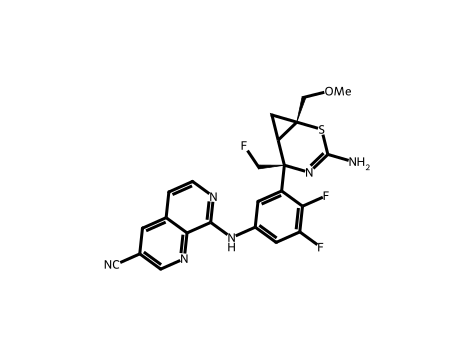 COC[C@]12CC1[C@@](CF)(c1cc(Nc3nccc4cc(C#N)cnc34)cc(F)c1F)N=C(N)S2